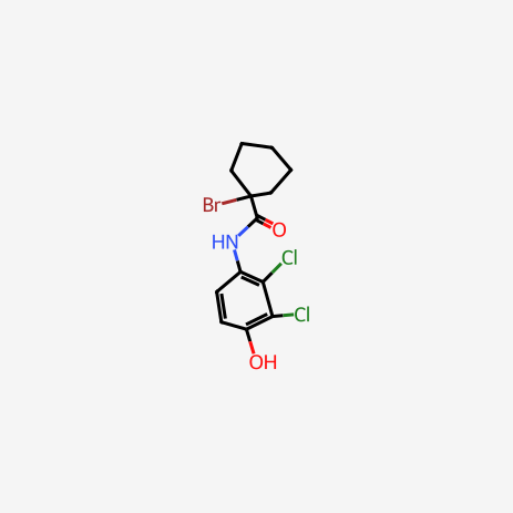 O=C(Nc1ccc(O)c(Cl)c1Cl)C1(Br)CCCCC1